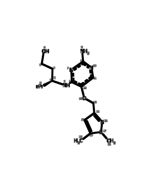 CCC[C@@H](CCO)Nc1nc(N)ncc1OCC1=NB(C)C(C)=C1